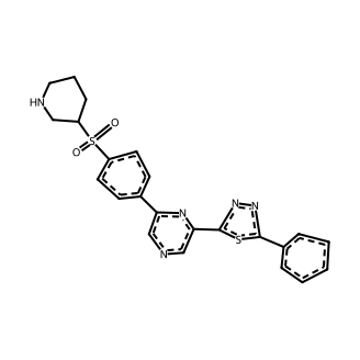 O=S(=O)(c1ccc(-c2cncc(-c3nnc(-c4ccccc4)s3)n2)cc1)C1CCCNC1